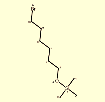 C[Si](C)(C)OCCCCCCBr